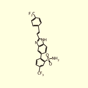 NS(=O)(=O)c1cc(C(F)(F)F)ccc1-c1ccc2[nH]c(/C=C/c3ccc(C(F)(F)F)cc3)nc2c1